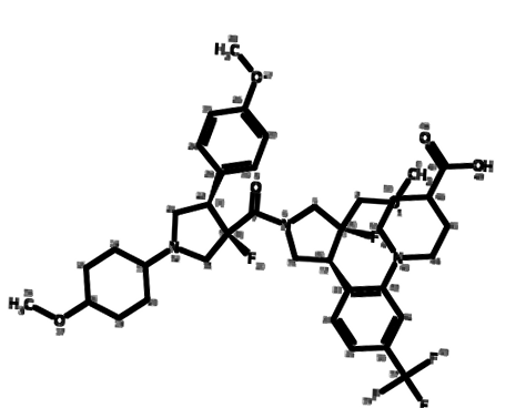 COC[C@@]1(F)CN(C(=O)[C@]2(F)CN(C3CCC(OC)CC3)C[C@H]2c2ccc(OC)cc2)C[C@@H]1c1ccc(C(F)(F)F)cc1N1CCC(C(=O)O)CC1